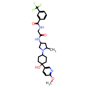 COc1ccc(C2(O)CCC(N3CC(NC(=O)CNC(=O)c4cccc(C(F)(F)F)c4)CC3C)CC2)cn1